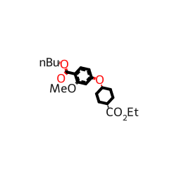 CCCCOC(=O)c1ccc(O[C@H]2CC[C@@H](C(=O)OCC)CC2)cc1OC